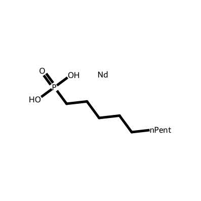 CCCCCCCCCCP(=O)(O)O.[Nd]